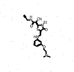 C#CCNC(=O)C(C#N)=c1sc(=CNc2cccc(OCCN(C)C)c2)c(=O)n1CC